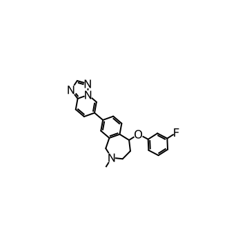 CN1CCC(Oc2cccc(F)c2)c2ccc(-c3ccc4ncnn4c3)cc2C1